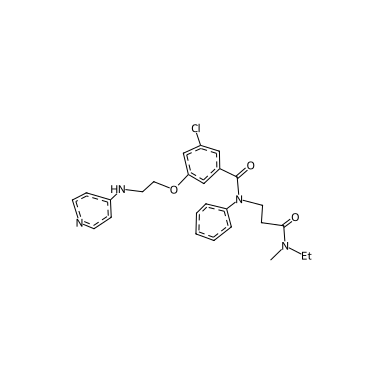 CCN(C)C(=O)CCN(C(=O)c1cc(Cl)cc(OCCNc2ccncc2)c1)c1ccccc1